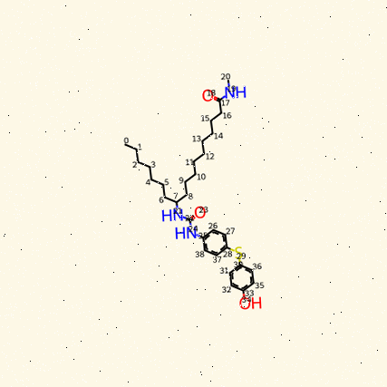 CCCCCCCC(CCCCCCCCCC(=O)NC)NC(=O)Nc1ccc(Sc2ccc(O)cc2)cc1